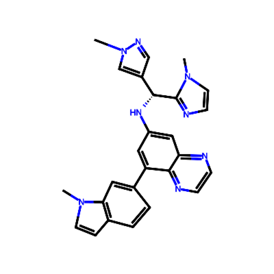 Cn1cc([C@@H](Nc2cc(-c3ccc4ccn(C)c4c3)c3nccnc3c2)c2nccn2C)cn1